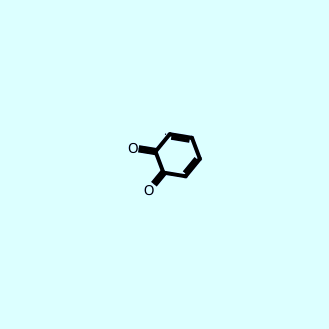 O=C1[C]=CC=CC1=O